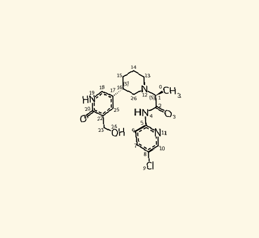 C[C@@H](C(=O)Nc1ccc(Cl)cn1)N1CCC[C@@H](c2c[nH]c(=O)c(CO)c2)C1